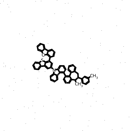 Cc1cccc(C2Cc3ccccc3-c3c(-c4cccc5c4c4ccccc4n5-c4cc(-c5cccc6c5oc5ccccc56)c5sc6ccccc6c5c4)cccc3C2C)c1